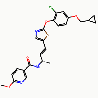 COc1ccc(C(=O)N[C@@H](C)/C=C/c2cnc(Oc3ccc(OCC4CC4)cc3Cl)s2)cn1